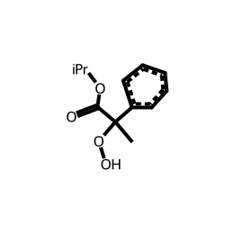 CC(C)OC(=O)C(C)(OO)c1ccccc1